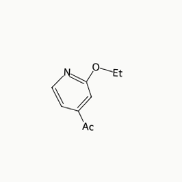 CCOc1cc(C(C)=O)ccn1